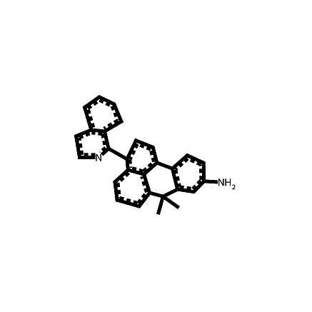 CC1(C)c2cc(N)ccc2-c2ccc(-c3nccc4ccccc34)c3cccc1c23